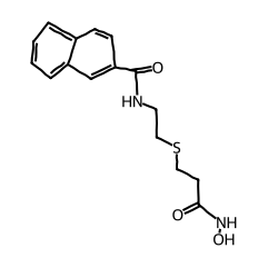 O=C(CCSCCNC(=O)c1ccc2ccccc2c1)NO